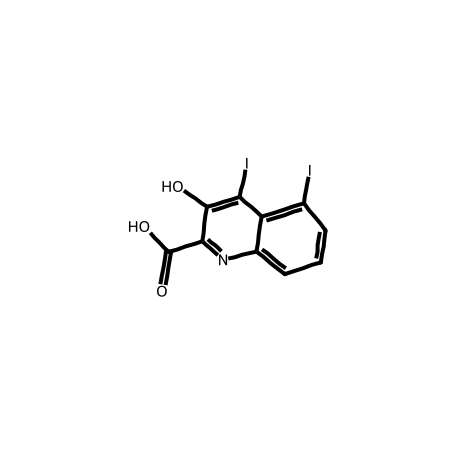 O=C(O)c1nc2cccc(I)c2c(I)c1O